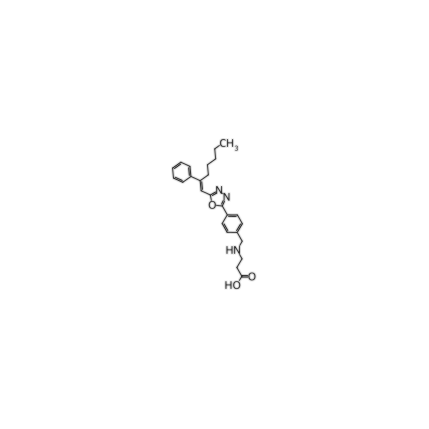 CCCCC/C(=C\c1nnc(-c2ccc(CNCCC(=O)O)cc2)o1)c1ccccc1